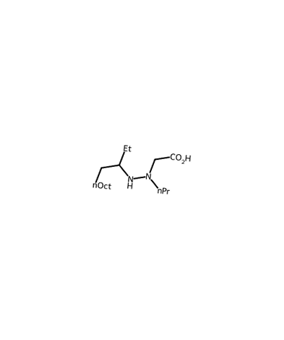 CCCCCCCCCC(CC)NN(CCC)CC(=O)O